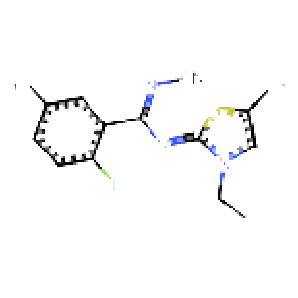 CC(C)Cn1cc(C(C)(C)C)sc1=NC(=NC#N)c1cc(C(F)(F)F)ccc1F